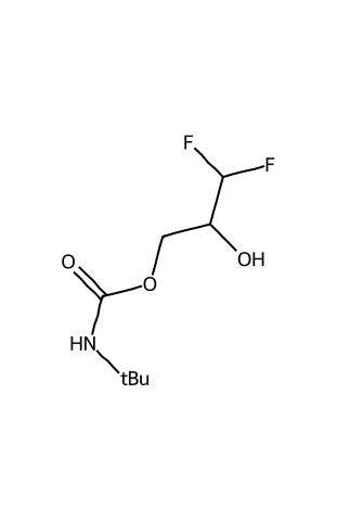 CC(C)(C)NC(=O)OCC(O)C(F)F